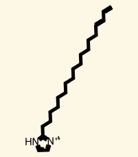 C=CC=CCCCCCCCCCCCCCCc1[nH]cc[n+]1C